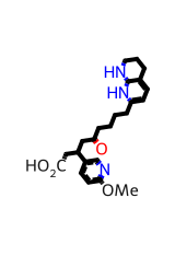 COc1ccc(C(CC(=O)O)CC(=O)CCCCC2=CC=C3CCCNC3N2)cn1